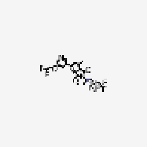 C=NN(/C=C(\C)N1C(=O)c2c(C)cc(-c3cncc(OCC(F)F)c3)nc2[C@H]1OC)CC(F)(F)F